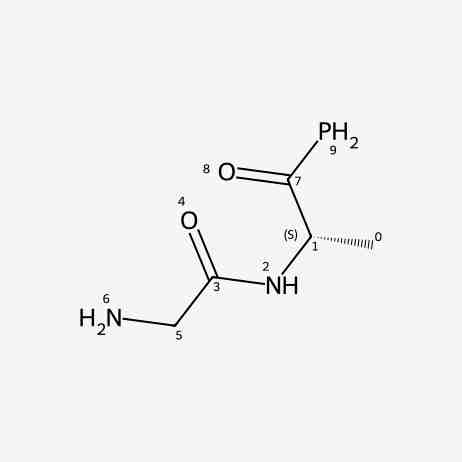 C[C@H](NC(=O)CN)C(=O)P